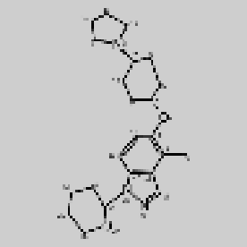 Cc1c(O[C@H]2CC[C@H](N3CCCC3)CC2)ccc2c1cnn2C1CCCCO1